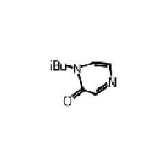 CCC(C)n1ccncc1=O